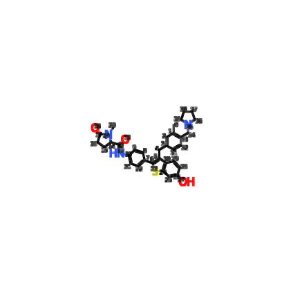 Cc1cc(Cc2c(-c3ccc(NC(=O)C4CCC(=O)N4C)cc3)sc3cc(O)ccc23)ccc1CN1CCCC1